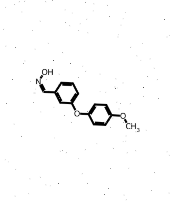 COc1ccc(Oc2cccc(/C=N\O)c2)cc1